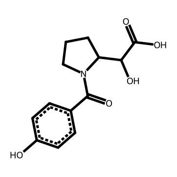 O=C(O)C(O)C1CCCN1C(=O)c1ccc(O)cc1